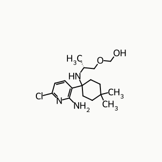 C[C@H](COCO)NC1(c2ccc(Cl)nc2N)CCC(C)(C)CC1